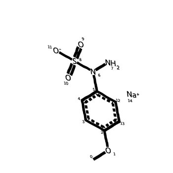 COc1ccc(N(N)S(=O)(=O)[O-])cc1.[Na+]